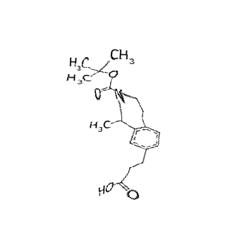 CC1c2cc(CCC(=O)O)ccc2CCN1C(=O)OC(C)(C)C